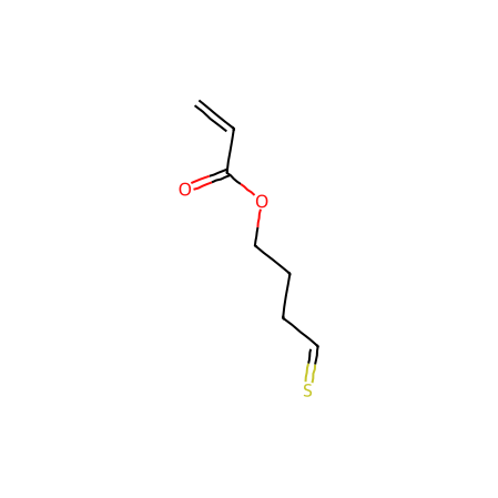 C=CC(=O)OCCCC=S